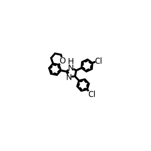 Clc1ccc(C2N=C(c3cccc4c3OCCC4)NC2c2ccc(Cl)cc2)cc1